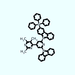 Cc1nc(C)c(C)c(-c2cc(-n3c4ccccc4c4ccccc43)nc(-n3c4ccccc4c4cc([Si](c5ccccc5)(c5ccccc5)c5ccccc5)ccc43)c2)n1